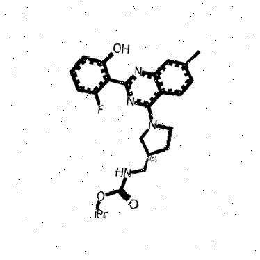 Cc1ccc2c(N3CC[C@@H](CNC(=O)OC(C)C)C3)nc(-c3c(O)cccc3F)nc2c1